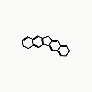 C1=Cc2cc3c(cc2CC1)-c1cc2c(cc1C3)=CCCC=2